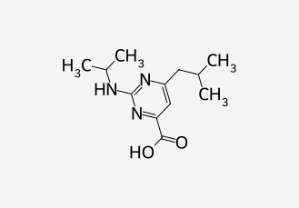 CC(C)Cc1cc(C(=O)O)nc(NC(C)C)n1